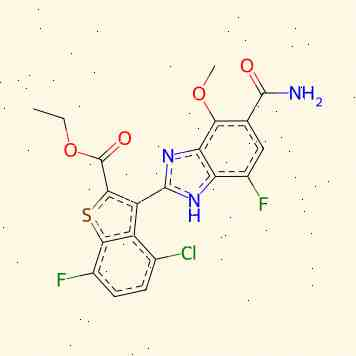 CCOC(=O)c1sc2c(F)ccc(Cl)c2c1-c1nc2c(OC)c(C(N)=O)cc(F)c2[nH]1